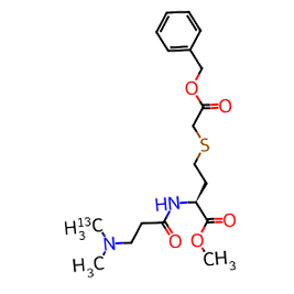 COC(=O)[C@H](CCSCC(=O)OCc1ccccc1)NC(=O)CCN(C)[13CH3]